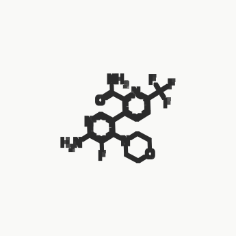 NC(=O)c1nc(C(F)(F)F)ccc1-c1cnc(N)c(F)c1N1CCOCC1